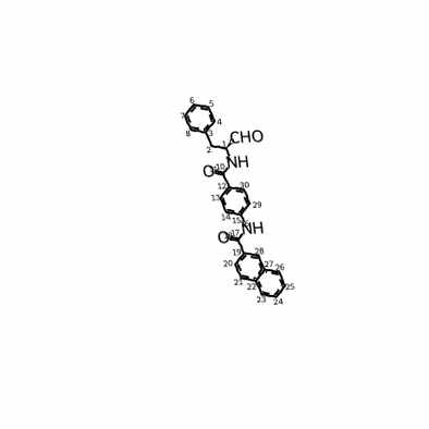 O=C[C@H](Cc1ccccc1)NC(=O)c1ccc(NC(=O)c2ccc3ccccc3c2)cc1